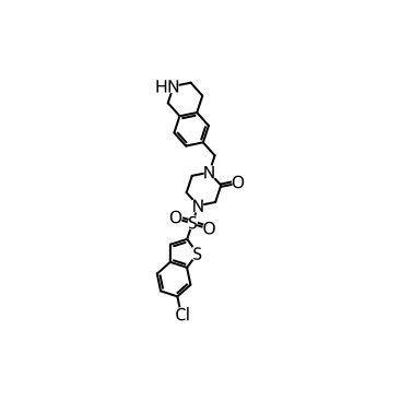 O=C1CN(S(=O)(=O)c2cc3ccc(Cl)cc3s2)CCN1Cc1ccc2c(c1)CCNC2